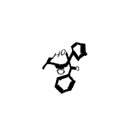 C=C(C)C(=O)C(O)(C(=O)c1ccccc1)c1ccccc1